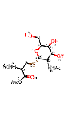 COC(=O)C(CS[C@@H]1OC(CO)[C@@H](O)C(O)C1NC(C)=O)NC(C)=O